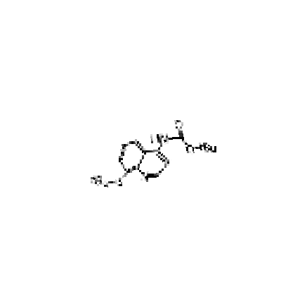 CC(C)(C)OC(=O)Nc1ccnc2c(SC(C)(C)C)cccc12